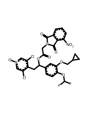 O=C(CN1C(=O)c2cccc([N+](=O)[O-])c2C1=O)OC(Cc1c(Cl)c[n+]([O-])cc1Cl)c1ccc(OC(F)F)c(OCC2CC2)c1